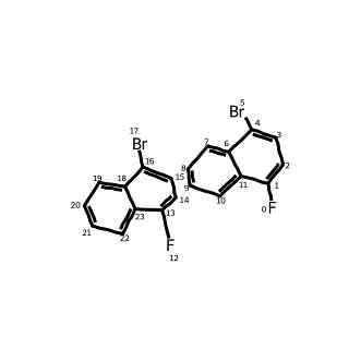 Fc1ccc(Br)c2ccccc12.Fc1ccc(Br)c2ccccc12